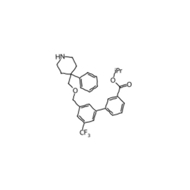 CC(C)OC(=O)c1cccc(-c2cc(COCC3(c4ccccc4)CCNCC3)cc(C(F)(F)F)c2)c1